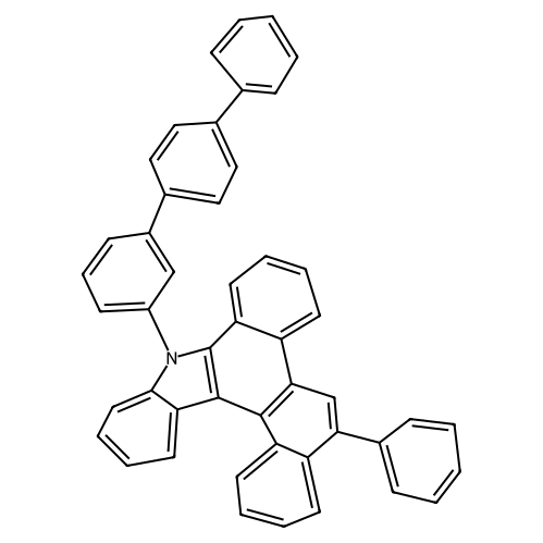 c1ccc(-c2ccc(-c3cccc(-n4c5ccccc5c5c6c7ccccc7c(-c7ccccc7)cc6c6ccccc6c54)c3)cc2)cc1